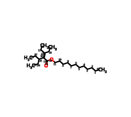 CCCCCCCCCCCCOC(=O)C(=C(CC)CC)C(CC)CC